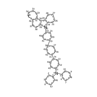 c1ccc(N(c2ccccc2)c2ccc(-c3ccc(-c4ccc(-n5c6ccccc6c6c7ccccc7ccc65)cc4)cc3)cc2)cc1